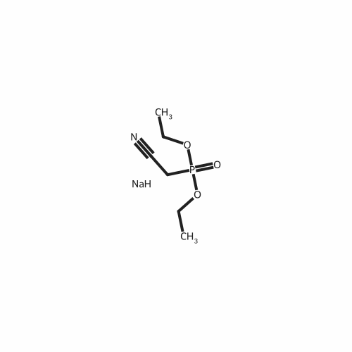 CCOP(=O)(CC#N)OCC.[NaH]